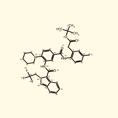 CC(C)(C)OC(=O)Cc1cc(F)ccc1NC(=O)c1ccc(N2CCCCC2)c(NC(=O)c2c3ccccc3nn2CC(F)(F)F)c1